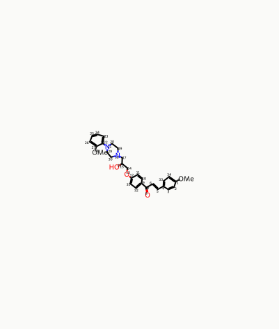 COc1ccc(C=CC(=O)c2ccc(OCC(O)CN3CCN(c4ccccc4OC)CC3)cc2)cc1